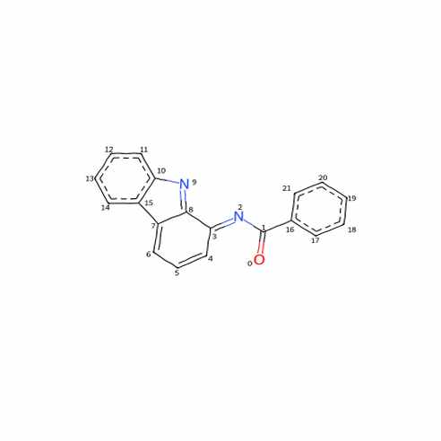 O=C(N=C1C=CC=C2C1=Nc1ccccc12)c1ccccc1